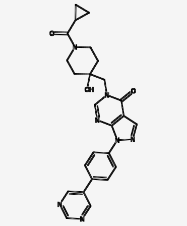 O=C(C1CC1)N1CCC(O)(Cn2cnc3c(cnn3-c3ccc(-c4cncnc4)cc3)c2=O)CC1